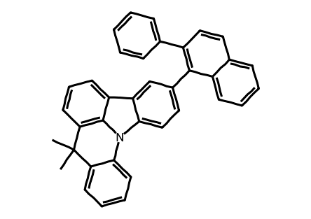 CC1(C)c2ccccc2-n2c3ccc(-c4c(-c5ccccc5)ccc5ccccc45)cc3c3cccc1c32